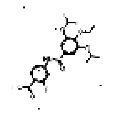 CCOc1c(OC(C)C)cc(C(=O)Nc2ccc(C(=O)O)c(F)c2)cc1OC(C)C